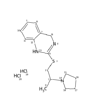 CC(CSC1=NCc2ccccc2N1)N1CCCC1.Cl.Cl